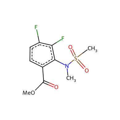 COC(=O)c1ccc(F)c(F)c1N(C)S(C)(=O)=O